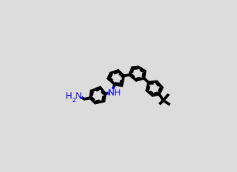 CC(C)(C)c1ccc(-c2cccc(-c3cccc(Nc4ccc(CN)cc4)c3)c2)cc1